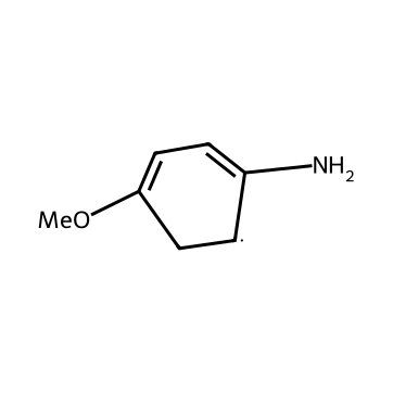 COC1=CC=C(N)[CH]C1